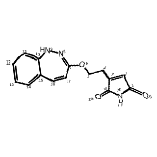 O=C1C=C(CCOC2=NNc3ccccc3C=C2)C(=O)N1